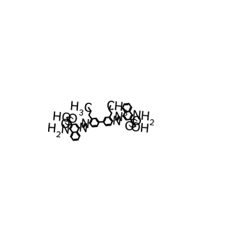 CCCc1cc(-c2ccc(/N=N/c3cc(S(=O)(=O)O)c(N)c4ccccc34)c(CCC)c2)ccc1/N=N/c1cc(S(=O)(=O)O)c(N)c2ccccc12